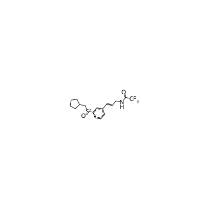 O=C(NCC=Cc1cccc([S+]([O-])CC2CCCC2)c1)C(F)(F)F